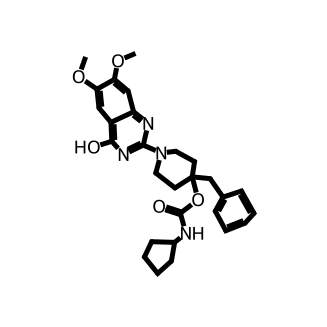 COc1cc2nc(N3CCC(Cc4ccccc4)(OC(=O)NC4CCCC4)CC3)nc(O)c2cc1OC